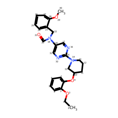 CCOc1ccccc1OC1CCCN(c2ncc(N(C=O)Cc3ccccc3OC)cn2)C1